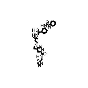 CC(C)(CCn1ccc2cc(C(=O)NCc3nncs3)nnc21)NC[C@H](O)c1cccc(NS(=O)(=O)c2ccccc2)c1